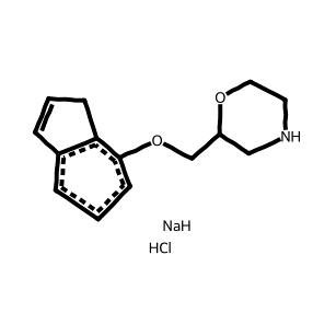 C1=Cc2cccc(OCC3CNCCO3)c2C1.Cl.[NaH]